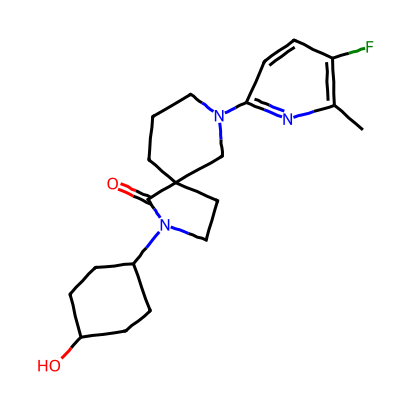 Cc1nc(N2CCCC3(CCN(C4CCC(O)CC4)C3=O)C2)ccc1F